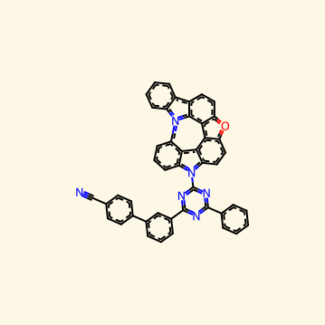 N#Cc1ccc(-c2cccc(-c3nc(-c4ccccc4)nc(-n4c5ccc6oc7ccc8c9ccccc9n9c%10cccc4c%10c5c6c7c89)n3)c2)cc1